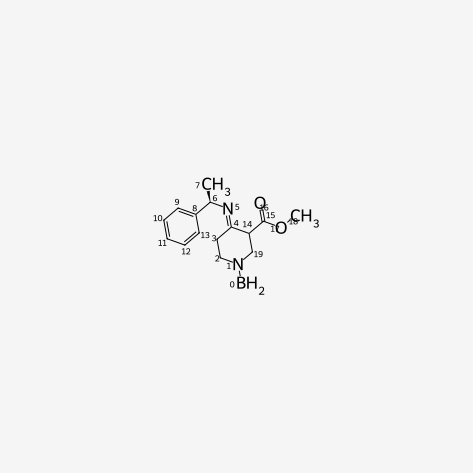 BN1CC/C(=N\[C@H](C)c2ccccc2)C(C(=O)OC)C1